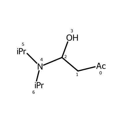 CC(=O)CC(O)N(C(C)C)C(C)C